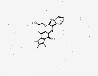 CC1=CC(=Nc2c(OCCO)nn3ccccc23)C(=N)c2c(C)c(C)n(C)c21